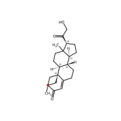 COC[C@]12CCC(=O)C=C1CC[C@H]1[C@@H]3CC[C@H](C(=O)CO)C3(C)CC[C@@H]12